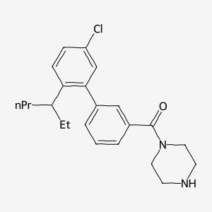 CCCC(CC)c1ccc(Cl)cc1-c1cccc(C(=O)N2CCNCC2)c1